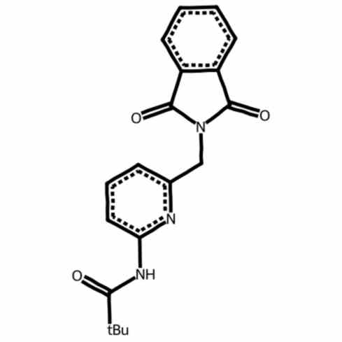 CC(C)(C)C(=O)Nc1cccc(CN2C(=O)c3ccccc3C2=O)n1